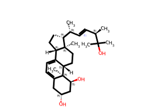 C[C@H](/C=C/[C@@H](C)C(C)(C)O)[C@H]1CC[C@H]2C3=CC=C4C[C@@H](O)C[C@H](O)[C@]4(C)[C@H]3CC[C@]12C